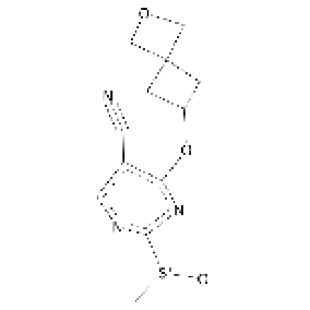 C[S+]([O-])c1ncc(C#N)c(OC2CC3(COC3)C2)n1